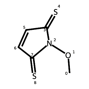 CON1C(=S)C=CC1=S